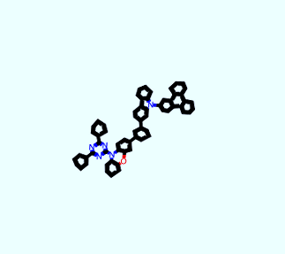 c1ccc(-c2nc(-c3ccccc3)nc(N3c4ccccc4Oc4cc(-c5cccc(-c6ccc7c8ccccc8n(-c8ccc9c%10ccccc%10c%10ccccc%10c9c8)c7c6)c5)ccc43)n2)cc1